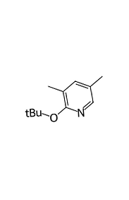 Cc1cnc(OC(C)(C)C)c(C)c1